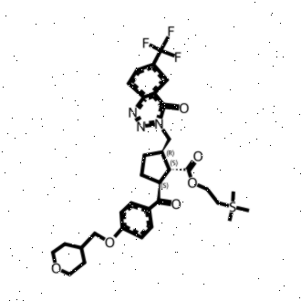 CS(C)(C)CCOC(=O)[C@H]1[C@H](Cn2nnc3ccc(C(F)(F)F)cc3c2=O)CC[C@@H]1C(=O)c1ccc(OCC2CCOCC2)cc1